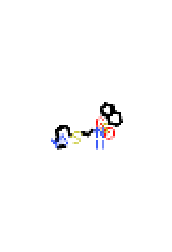 O=S(=O)(NCCCSc1cccc2nccn12)c1cccc2ccccc12